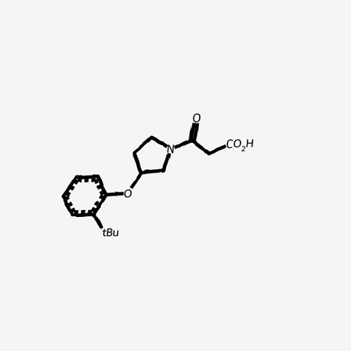 CC(C)(C)c1ccccc1OC1CCN(C(=O)CC(=O)O)C1